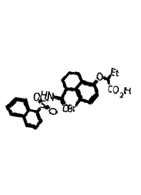 CCC(Oc1ccc(Br)c2c1CCCC2C(=O)NS(=O)(=O)c1cccc2ccccc12)C(=O)O